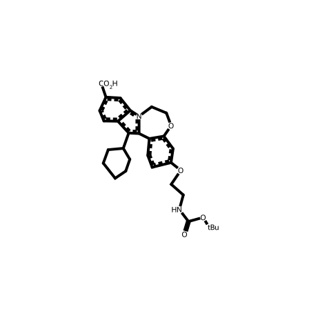 CC(C)(C)OC(=O)NCCOc1ccc2c(c1)OCCn1c-2c(C2CCCCC2)c2ccc(C(=O)O)cc21